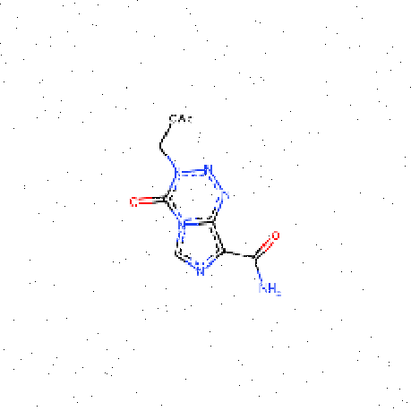 CC(=O)OCn1nnc2c(C(N)=O)ncn2c1=O